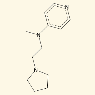 CN(CCN1CCCC1)c1ccncc1